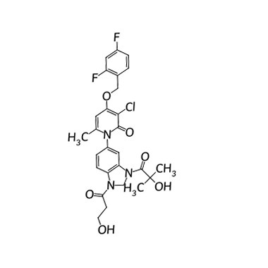 Cc1cc(OCc2ccc(F)cc2F)c(Cl)c(=O)n1-c1ccc2c(c1)N(C(=O)C(C)(C)O)CN2C(=O)CCO